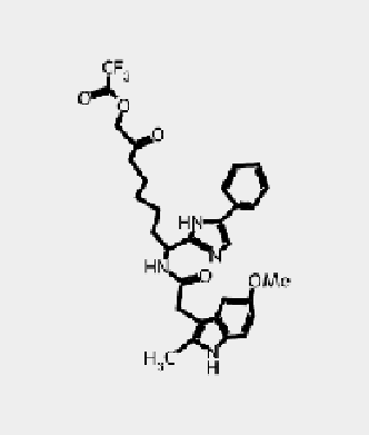 COc1ccc2[nH]c(C)c(CC(=O)NC(CCCCCC(=O)COC(=O)C(F)(F)F)c3ncc(-c4ccccc4)[nH]3)c2c1